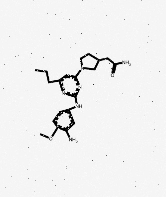 CCCc1cc(N2CCC(CC(N)=O)C2)nc(Nc2ccc(OC)c(N)c2)n1